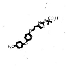 CC(C)(Sc1nc(CCOc2ccc(Oc3ccc(C(F)(F)F)cc3)cc2)cs1)C(=O)O